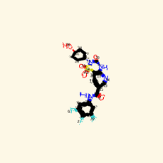 O=C(Nc1cc(F)c(F)c(F)c1)c1cnc2c(c1)S(=O)(=O)N([C@H]1CC[C@H](O)CC1)C(=O)N2